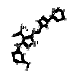 NC(=O)c1c(Nc2cccc(CI)c2)n[nH]c1/N=C/c1ccc(-c2ccccn2)s1